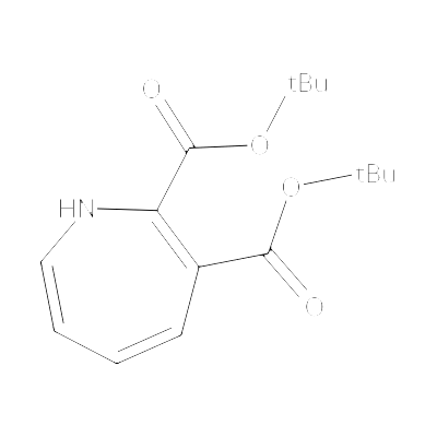 CC(C)(C)OC(=O)C1=C(C(=O)OC(C)(C)C)NC=CC=C1